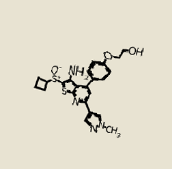 Cn1cc(-c2cc(-c3ccc(OCCO)cc3)c3c(N)c([S+]([O-])C4CCC4)sc3n2)cn1